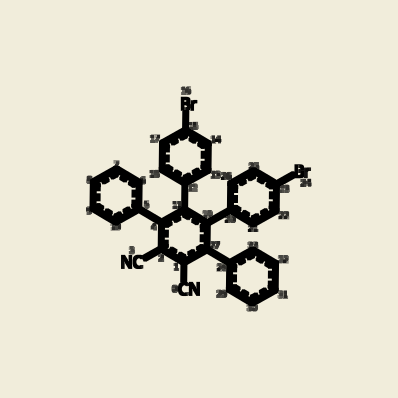 N#Cc1c(C#N)c(-c2ccccc2)c(-c2ccc(Br)cc2)c(-c2ccc(Br)cc2)c1-c1ccccc1